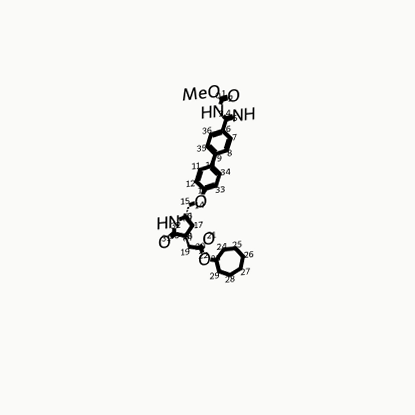 COC(=O)NC(=N)c1ccc(-c2ccc(OC[C@@H]3C[C@@H](CC(=O)OC4CCCCCC4)C(=O)N3)cc2)cc1